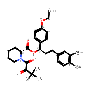 CCC(C)(C)C(=O)C(=O)N1CCCC[C@@H]1C(=O)O[C@H](CCc1ccc(OC)c(OC)c1)c1ccc(OCC(=O)O)cc1